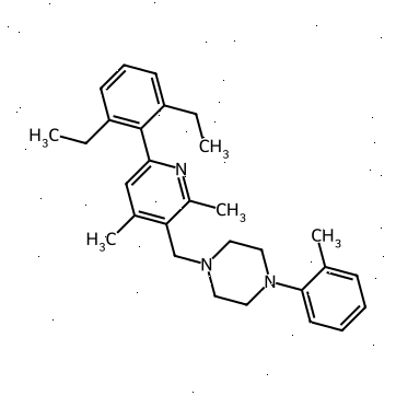 CCc1cccc(CC)c1-c1cc(C)c(CN2CCN(c3ccccc3C)CC2)c(C)n1